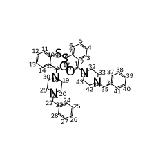 O=C(c1ccccc1SSc1ccccc1C(=O)N1CCN(Cc2ccccc2)CC1)N1CCN(Cc2ccccc2)CC1